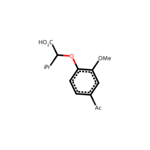 COc1cc(C(C)=O)ccc1OC(C(=O)O)C(C)C